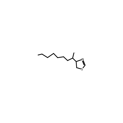 [CH2]C(CCCCCCC)C1CSC=N1